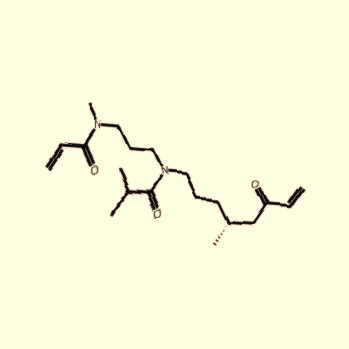 C=CC(=O)C[C@H](C)CCCN(CCCN(C)C(=O)C=C)C(=O)C(C)C